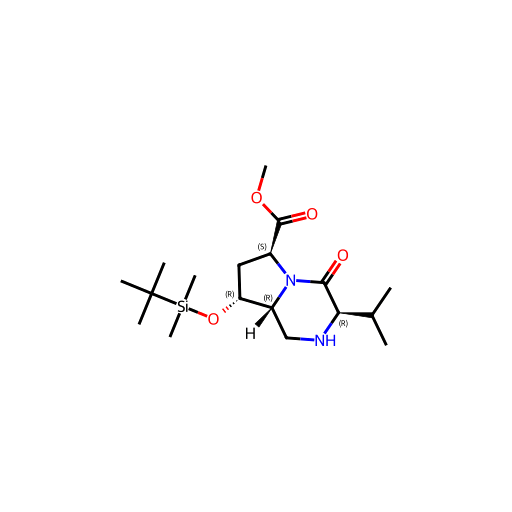 COC(=O)[C@@H]1C[C@@H](O[Si](C)(C)C(C)(C)C)[C@H]2CN[C@H](C(C)C)C(=O)N21